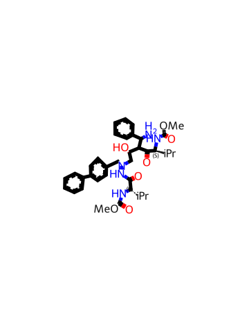 COC(=O)N[C@H](C(=O)NN(Cc1ccc(-c2ccccc2)cc1)CC(O)C(C(=O)[C@@H](NC(=O)OC)C(C)C)C(N)c1ccccc1)C(C)C